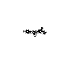 O=c1cc(OCc2ccc(F)cc2)ccn1CCc1ccc(CN2CCC2)c(F)c1